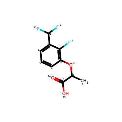 CC(Oc1cccc(C(F)F)c1F)C(=O)O